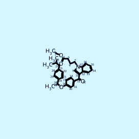 CCOC(=O)CCCn1cc(C(=O)c2ccc(O[C@H](C)c3ccc(CC(C)C)cc3)cc2)c2ccccc21